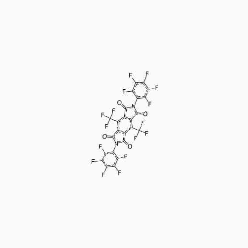 O=c1c2c(C(F)(F)F)c3c(=O)n(-c4c(F)c(F)c(F)c(F)c4F)c(=O)c3c(C(F)(F)F)c2c(=O)n1-c1c(F)c(F)c(F)c(F)c1F